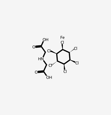 Cl[C@H]1[C@H](Cl)[C@@H](Cl)[C@@H](Cl)[C@H](Cl)[C@H]1Cl.O=C(O)CNCC(=O)O.[Fe]